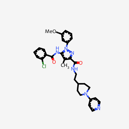 COc1cccc(-n2nc(C(=O)NCCC3CCN(c4ccncc4)CC3)c(C)c2NC(=O)c2ccccc2Cl)c1